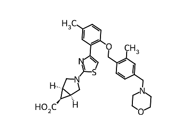 Cc1ccc(OCc2ccc(CN3CCOCC3)cc2C)c(-c2csc(N3C[C@@H]4[C@H](C3)[C@@H]4C(=O)O)n2)c1